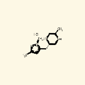 Cc1cc(C[C@H]2CN[C@H](C)CN2)n(C)n1.Cl